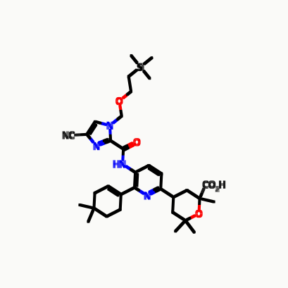 CC1(C)CC=C(c2nc(C3CC(C)(C)OC(C)(C(=O)O)C3)ccc2NC(=O)c2nc(C#N)cn2COCC[Si](C)(C)C)CC1